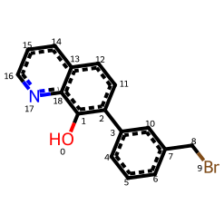 Oc1c(-c2cccc(CBr)c2)ccc2cccnc12